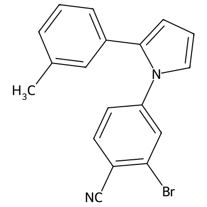 Cc1cccc(-c2cccn2-c2ccc(C#N)c(Br)c2)c1